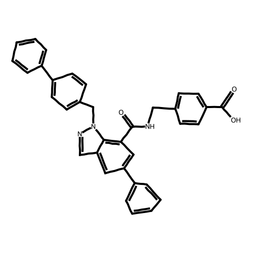 O=C(O)c1ccc(CNC(=O)c2cc(-c3ccccc3)cc3cnn(Cc4ccc(-c5ccccc5)cc4)c23)cc1